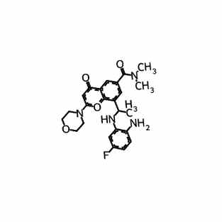 CC(Nc1cc(F)ccc1N)c1cc(C(=O)N(C)C)cc2c(=O)cc(N3CCOCC3)oc12